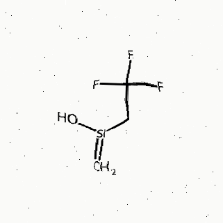 C=[Si](O)CC(F)(F)F